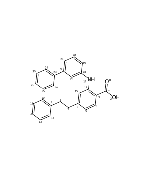 O=C(O)c1ccc(CCc2ccccc2)cc1Nc1cccc(-c2ccccc2)c1